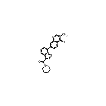 Cn1cnc2cc(-c3cccc4c(C(=O)N5CCCCC5)cnn34)ccc2c1=O